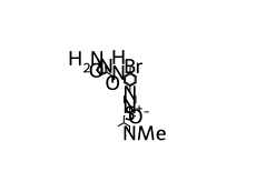 CNCC(C)C[S+]([O-])N1CCN(c2ccc(Br)c(NC(=O)c3coc(N)n3)c2)CC1